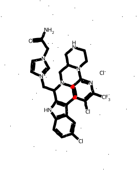 NC(=O)Cn1cc[n+](CC2c3[nH]c4ccc(Cl)cc4c3CCN2CC2CNCCN2c2ccc(Cl)c(C(F)(F)F)n2)c1.[Cl-]